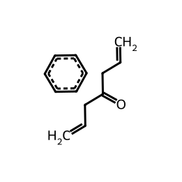 C=CCC(=O)CC=C.c1ccccc1